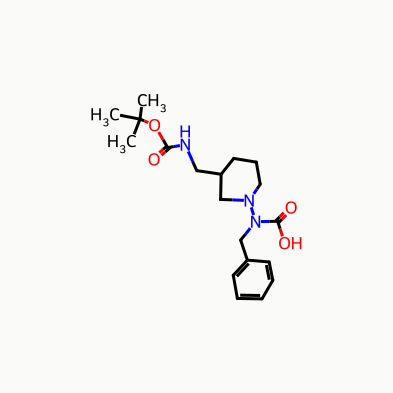 CC(C)(C)OC(=O)NCC1CCCN(N(Cc2ccccc2)C(=O)O)C1